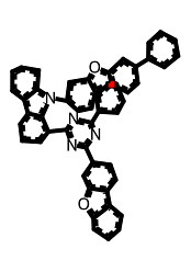 c1ccc(-c2ccc3c(c2)oc2cc(-n4c5ccccc5c5cccc(-c6nc(-c7ccccc7)nc(-c7ccc8c(c7)oc7ccccc78)n6)c54)ccc23)cc1